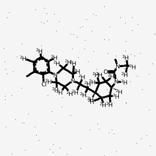 [2H]c1c([2H])c(C)c(Cl)c(N2C([2H])([2H])C([2H])([2H])N(C([2H])([2H])C([2H])([2H])[C@]3([2H])C([2H])([2H])C([2H])([2H])[C@@]([2H])(N([2H])C(=O)N(C)C([2H])([2H])[2H])C([2H])([2H])C3([2H])[2H])C([2H])([2H])C2([2H])[2H])c1[2H]